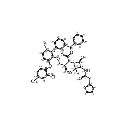 O=C(Cc1cccs1)NC1C(=O)N2C(C(=O)OC(c3ccccc3)c3ccccc3)C(COc3cc(Cl)ccc3Oc3ccc(Cl)cc3Cl)=CS[C@@H]12